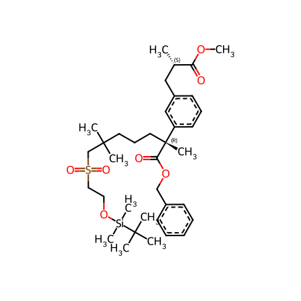 COC(=O)[C@@H](C)Cc1cccc([C@@](C)(CCCC(C)(C)CS(=O)(=O)CCO[Si](C)(C)C(C)(C)C)C(=O)OCc2ccccc2)c1